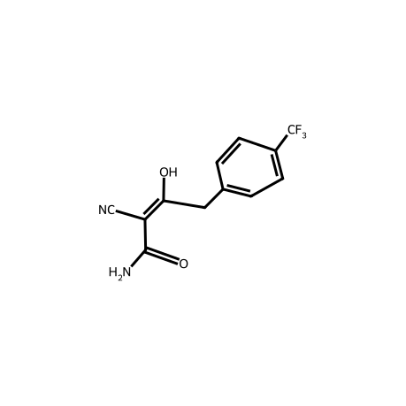 N#CC(C(N)=O)=C(O)Cc1ccc(C(F)(F)F)cc1